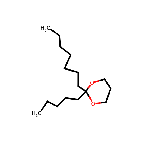 CCCCCCCC1(CCCCC)OCCCO1